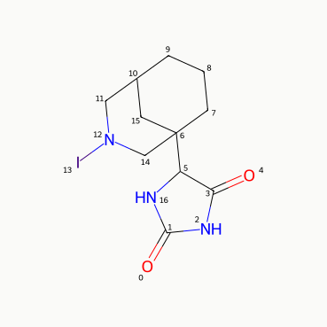 O=C1NC(=O)C(C23CCCC(CN(I)C2)C3)N1